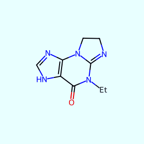 CCN1C(=O)c2[nH]cnc2N2CCN=C12